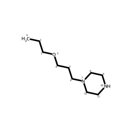 CCCOCCCN1CCNCC1